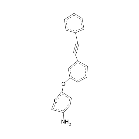 Nc1ccc(Oc2cccc(C#Cc3ccccc3)c2)cc1